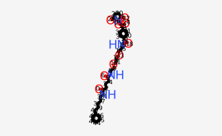 O=C(CCCC(=O)NCCOCCOCCNC(=O)c1ccc(C(=O)ON2C(=O)CCC2=O)cc1)NCCCCCc1ccccc1